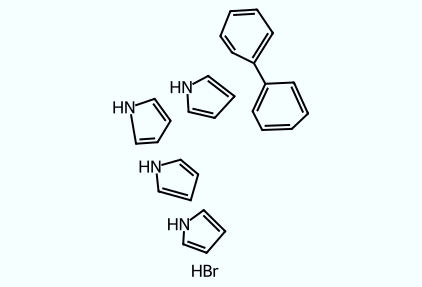 Br.c1cc[nH]c1.c1cc[nH]c1.c1cc[nH]c1.c1cc[nH]c1.c1ccc(-c2ccccc2)cc1